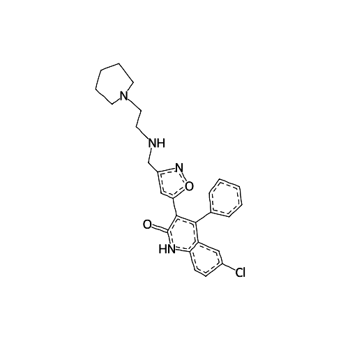 O=c1[nH]c2ccc(Cl)cc2c(-c2ccccc2)c1-c1cc(CNCCN2CCCCC2)no1